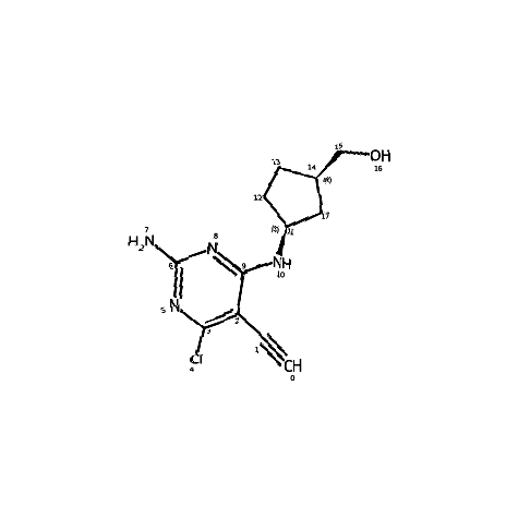 C#Cc1c(Cl)nc(N)nc1N[C@H]1CC[C@@H](CO)C1